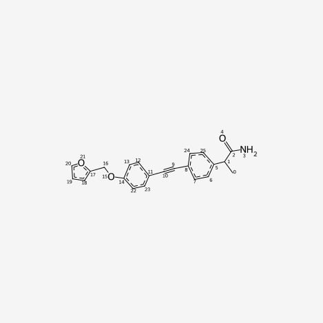 CC(C(N)=O)c1ccc(C#Cc2ccc(OCc3ccco3)cc2)cc1